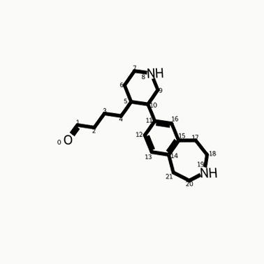 O=CCCCC1CCNCC1c1ccc2c(c1)CCNCC2